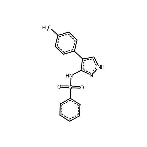 Cc1ccc(-c2c[nH]nc2NS(=O)(=O)c2ccccc2)cc1